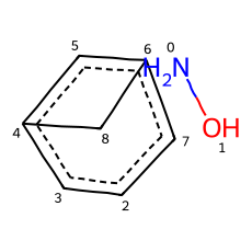 NO.c1cc2cc(c1)C2